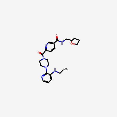 CCNc1cccnc1N1CCN(C(=O)c2ccc(C(=O)NCC3CCCO3)cn2)CC1